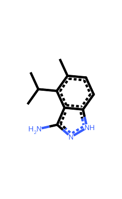 Cc1ccc2[nH]nc(N)c2c1C(C)C